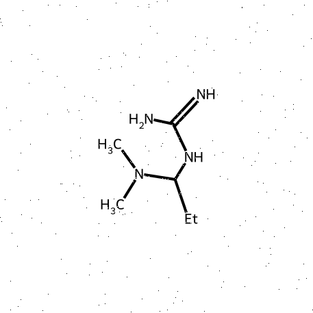 CCC(NC(=N)N)N(C)C